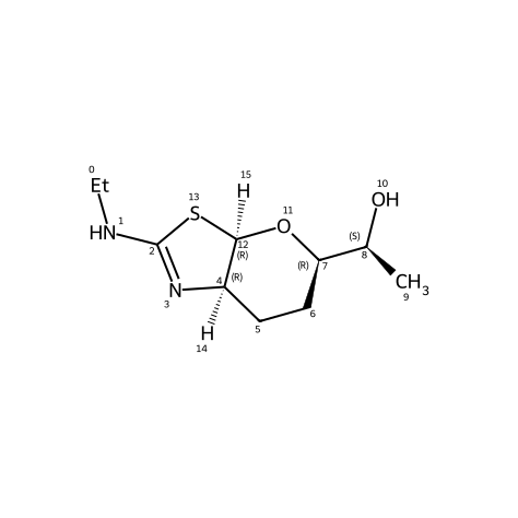 CCNC1=N[C@@H]2CC[C@H]([C@H](C)O)O[C@@H]2S1